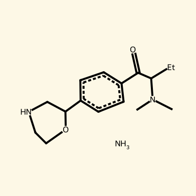 CCC(C(=O)c1ccc(C2CNCCO2)cc1)N(C)C.N